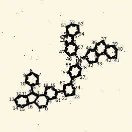 C1=CC2C(=C(c3ccccc3)c3ccccc32)c2ccc(-c3cccc(-c4ccc(N(c5ccc6c(ccc7ccccc76)c5)c5ccc6sc7ccccc7c6c5)cc4)c3)cc21